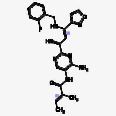 C/C=C(\C)C(=O)Nc1cnc(C(=N)/C=C(\NCc2ccccc2F)c2ccon2)nc1N